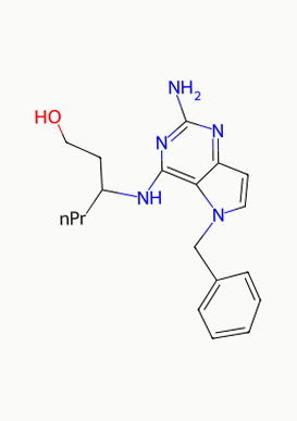 CCCC(CCO)Nc1nc(N)nc2ccn(Cc3ccccc3)c12